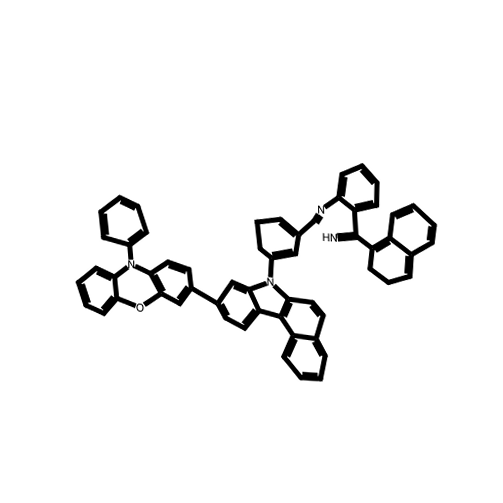 N=C(C1=c2ccccc2=CCC1)c1ccccc1/N=C/C1=CCCC(n2c3cc(-c4ccc5c(c4)Oc4ccccc4N5c4ccccc4)ccc3c3c4ccccc4ccc32)=C1